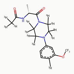 [2H]c1ccc(N2C([2H])([2H])C([2H])([2H])N(C(=O)[C@@H](C)NC(=O)C([2H])([2H])[2H])C([2H])([2H])C2([2H])[2H])cc1OC(F)(F)F